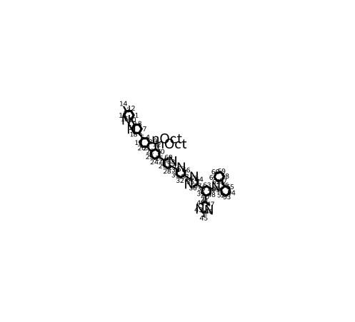 CCCCCCCCC1(CCCCCCCC)c2cc(-c3ccc(-c4ccc(C)cn4)nc3)ccc2-c2ccc(-c3ccc(-c4ccc(-c5ncc(-c6cc(-c7cnc(C)nc7)cc(-n7c8ccccc8c8ccccc87)c6)cn5)cn4)nc3)cc21